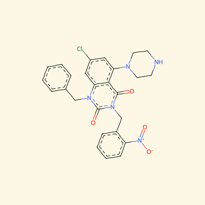 O=c1c2c(N3CCNCC3)cc(Cl)cc2n(Cc2ccccc2)c(=O)n1Cc1ccccc1[N+](=O)[O-]